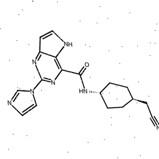 N#CC[C@H]1CC[C@H](NC(=O)c2nc(-n3ccnc3)nc3cc[nH]c23)CC1